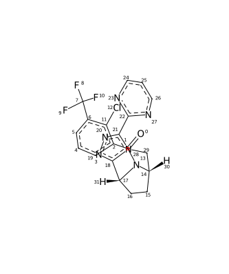 O=C(c1cccc(C(F)(F)F)c1Cl)N1[C@H]2CC[C@@H]1c1nnc(-c3ncccn3)n1C2